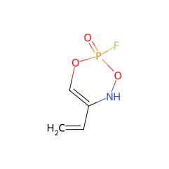 C=CC1=COP(=O)(F)ON1